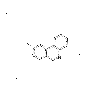 Cc1cc2c(cn1)cnc1ccccc12